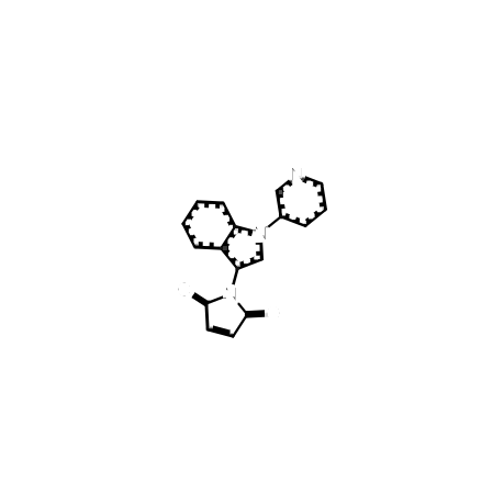 O=C1C=CC(=O)N1c1cn(-c2cccnc2)c2ccccc12